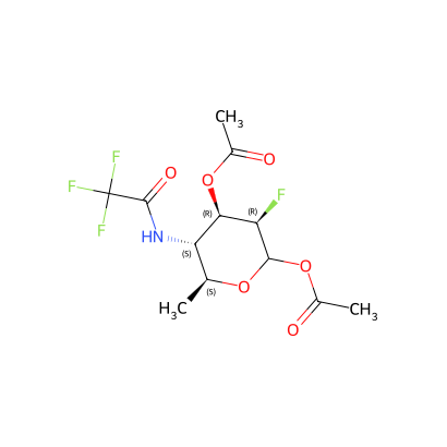 CC(=O)OC1O[C@@H](C)[C@H](NC(=O)C(F)(F)F)[C@@H](OC(C)=O)[C@H]1F